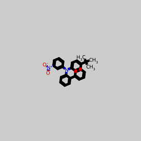 CC(C)(C)c1ccc(N(c2cccc([N+](=O)[O-])c2)c2ccccc2-c2ccccc2)cc1